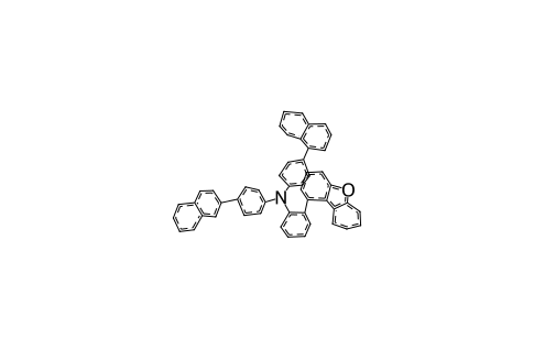 c1ccc(N(c2ccc(-c3ccc4ccccc4c3)cc2)c2ccc(-c3cccc4ccccc34)cc2)c(-c2cccc3oc4ccccc4c23)c1